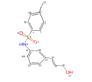 Cc1ccc(S(=O)(=O)Nc2cccc(/C=C/CO)c2)cc1